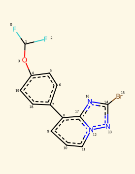 FC(F)Oc1ccc(-c2cccn3nc(Br)nc23)cc1